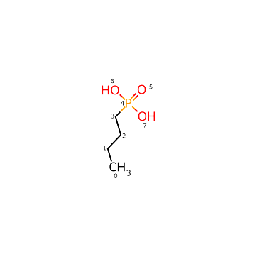 CCCCP(=O)(O)O